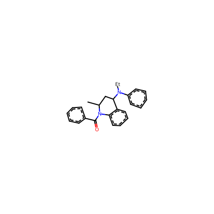 CCN(c1ccccc1)C1CC(C)N(C(=O)c2ccccc2)c2ccccc21